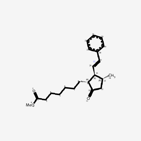 COC(=O)CCCCCC[C@H]1C(=O)C[C@@H](C)[C@@H]1/C=C/c1ccccc1